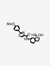 COc1ccc(-c2nc(C(=O)Nc3ccc4c(c3)S(O)(O)CC4)cs2)cc1